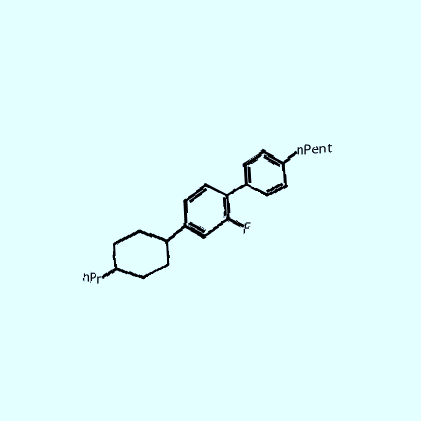 CCCCCc1ccc(-c2ccc(C3CCC(CCC)CC3)cc2F)cc1